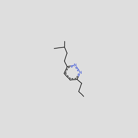 CCCc1ccc(CCC(C)C)nn1